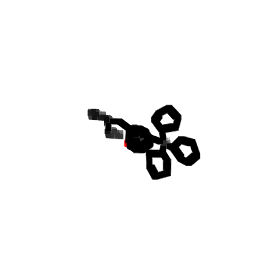 CC(C)(C)P(C[C]12[CH]3[CH]4[C]5([Si](c6ccccc6)(c6ccccc6)c6ccccc6)[CH]1[Fe]34251678[CH]2[CH]1[CH]6[CH]7[CH]28)C(C)(C)C